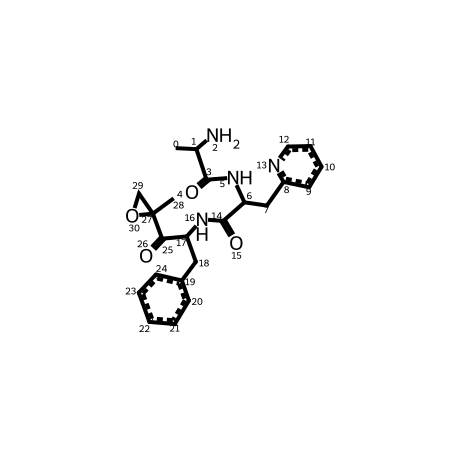 CC(N)C(=O)NC(Cc1ccccn1)C(=O)NC(Cc1ccccc1)C(=O)C1(C)CO1